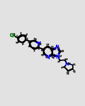 Clc1ccc(-c2ccc(-c3cnc4c(c3)ncn4CCN3CCCC3)nc2)cc1